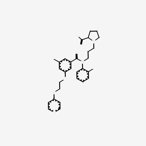 O=C(O)C1CCCN1CCCN(C(=O)c1cc(Cl)cc(OCCNc2ccncc2)c1)c1ccccc1F